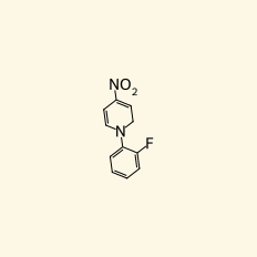 O=[N+]([O-])C1=CCN(c2ccccc2F)C=C1